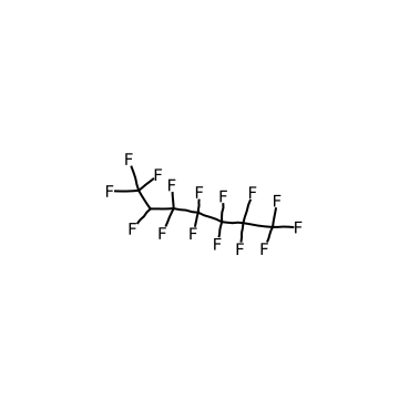 FC(C(F)(F)F)C(F)(F)C(F)(F)C(F)(F)C(F)(F)C(F)(F)F